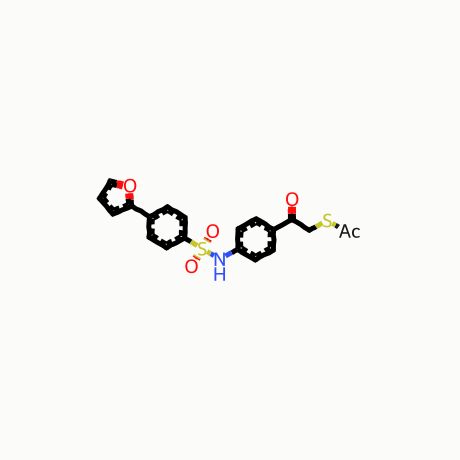 CC(=O)SCC(=O)c1ccc(NS(=O)(=O)c2ccc(-c3ccco3)cc2)cc1